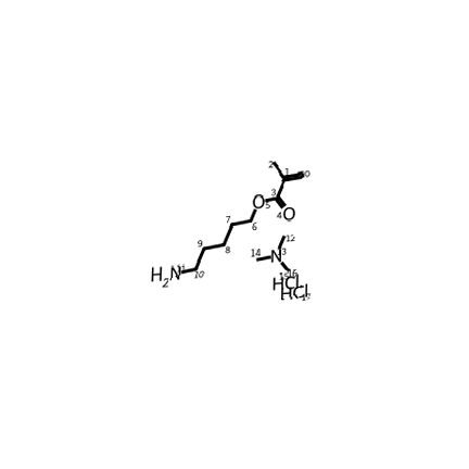 C=C(C)C(=O)OCCCCCN.CN(C)C.Cl.Cl